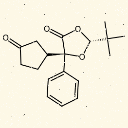 CC(C)(C)[C@H]1OC(=O)[C@](c2ccccc2)(C2CCC(=O)C2)O1